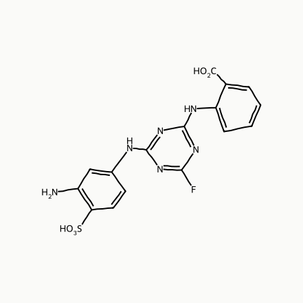 Nc1cc(Nc2nc(F)nc(Nc3ccccc3C(=O)O)n2)ccc1S(=O)(=O)O